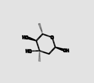 C[C@@H]1O[C@@H](O)C[C@@](C)(O)[C@H]1O